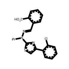 CC(C)N(N=Cc1ccccc1C(=O)O)c1nc(-c2ccccc2Cl)cs1